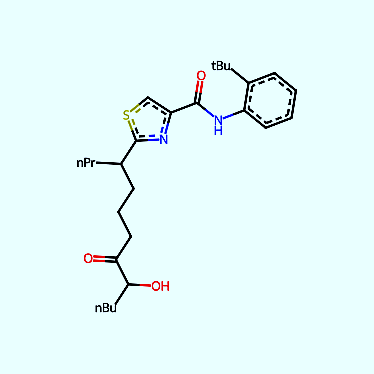 CCCCC(O)C(=O)CCCC(CCC)c1nc(C(=O)Nc2ccccc2C(C)(C)C)cs1